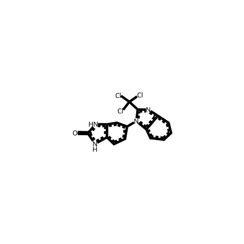 O=c1[nH]c2ccc(-n3c(C(Cl)(Cl)Cl)nc4ccccc43)cc2[nH]1